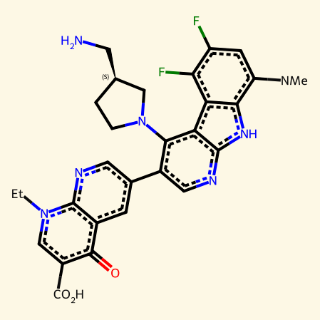 CCn1cc(C(=O)O)c(=O)c2cc(-c3cnc4[nH]c5c(NC)cc(F)c(F)c5c4c3N3CC[C@@H](CN)C3)cnc21